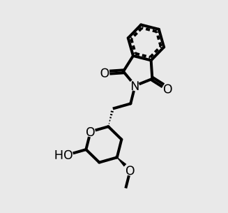 CO[C@H]1CC(O)O[C@H](CCN2C(=O)c3ccccc3C2=O)C1